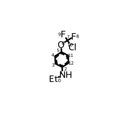 CCNc1ccc(OC(F)(F)Cl)cc1